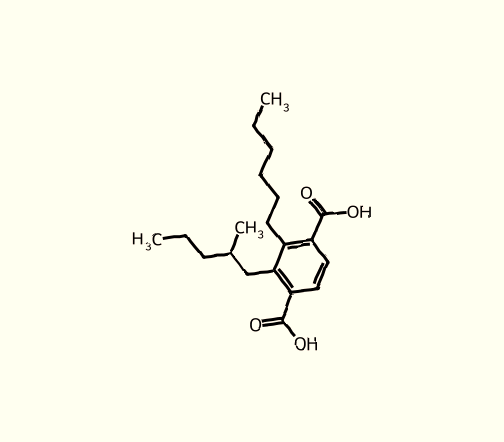 CCCCCCc1c(C(=O)O)ccc(C(=O)O)c1CC(C)CCC